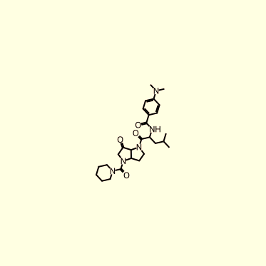 CC(C)CC(NC(=O)c1ccc(N(C)C)cc1)C(=O)N1CCC2C1C(=O)CN2C(=O)N1CCCCC1